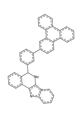 c1cc(-c2ccc3c4ccccc4c4ccccc4c3c2)cc(C2Nc3c(nc4ccccn34)-c3ccccc32)c1